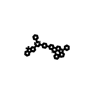 CC1(C)c2ccccc2-c2ccc(-c3cc(-c4ccc(-c5ccc6c(c5)nc(-c5ccccc5)c5c6ccc6c5c5ccccc5n6-c5ccccc5)cc4)nc(-c4ccccc4)n3)cc21